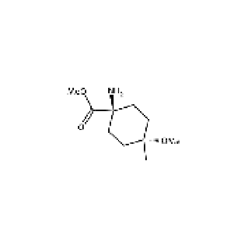 COC(=O)[C@]1(N)CC[C@](C)(OC)CC1